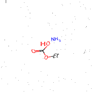 CCOC(=O)O.N